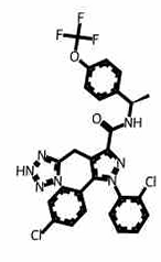 C[C@@H](NC(=O)c1nn(-c2ccccc2Cl)c(-c2ccc(Cl)cc2)c1Cc1nn[nH]n1)c1ccc(OC(F)(F)F)cc1